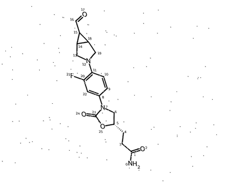 NC(=O)CC[C@H]1CN(c2ccc(N3CC4C(C=O)C4C3)c(F)c2)C(=O)O1